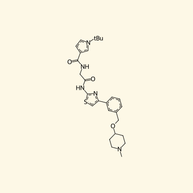 CN1CCC(OCc2cccc(-c3csc(NC(=O)CNC(=O)c4ccn(C(C)(C)C)c4)n3)c2)CC1